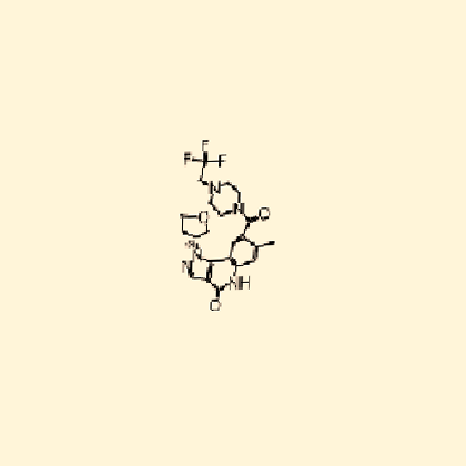 Cc1cc2[nH]c(=O)c3cnn([C@H]4CCOC4)c3c2cc1C(=O)N1CCN(CC(F)(F)F)CC1